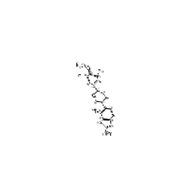 CCCc1cc2ccc(C3CCC(c4cc(F)c(OC(F)(F)F)c(F)c4)OC3)c(F)c2s1